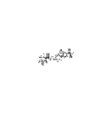 COc1cc(NC(C)=O)ccc1N1CCN(CCCNc2c(C)c(=O)n(C)c(=O)n2C)CC1